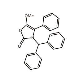 COc1oc(=O)n(C(c2ccccc2)c2ccccc2)c1-c1ccccc1